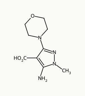 Cn1nc(N2CCOCC2)c(C(=O)O)c1N